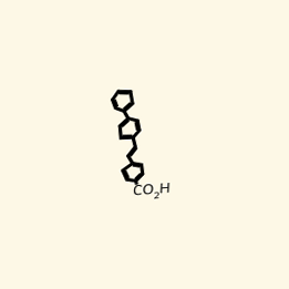 O=C(O)c1ccc(C=Cc2ccc(-c3ccccc3)cc2)cc1